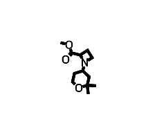 COC(=O)C1CCN1C1CCOC(C)(C)C1